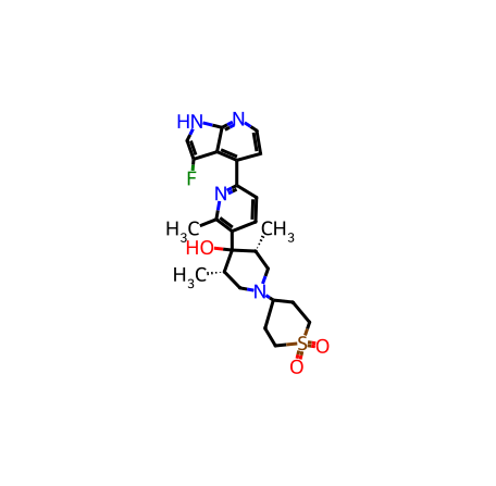 Cc1nc(-c2ccnc3[nH]cc(F)c23)ccc1C1(O)[C@H](C)CN(C2CCS(=O)(=O)CC2)C[C@@H]1C